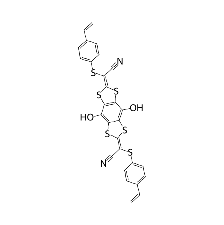 C=Cc1ccc(SC(C#N)=C2Sc3c(O)c4c(c(O)c3S2)SC(=C(C#N)Sc2ccc(C=C)cc2)S4)cc1